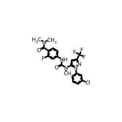 CN(C)C(=O)c1ccc(NC(=O)N(C)c2cc(C(F)(F)F)nn2-c2cccc(Cl)c2)cc1F